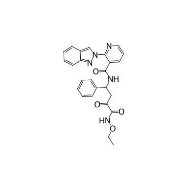 CCONC(=O)C(=O)CC(NC(=O)c1cccnc1-n1cc2ccccc2n1)c1ccccc1